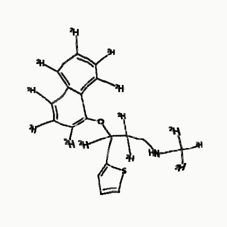 [2H]c1c([2H])c([2H])c2c(OC([2H])(c3cccs3)C([2H])([2H])CNC([2H])([2H])[2H])c([2H])c([2H])c([2H])c2c1[2H]